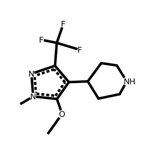 COc1c(C2CCNCC2)c(C(F)(F)F)nn1C